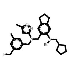 CCN(CC1CCCC1)c1cc2c(cc1CN(Cc1cc(C)cc(CF)c1)c1cc(C)on1)CCC2